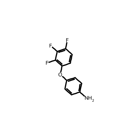 Nc1ccc(Oc2ccc(F)c(F)c2F)cc1